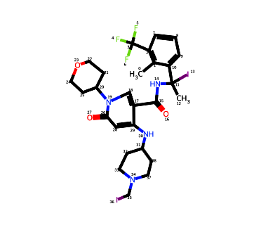 Cc1c(C(F)(F)F)cccc1C(C)(I)NC(=O)c1cn(C2CCOCC2)c(=O)cc1NC1CCN(CI)CC1